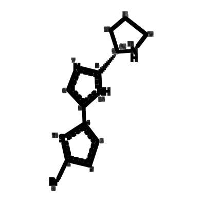 Brc1ccc(-c2cnc([C@@H]3CCCN3)[nH]2)s1